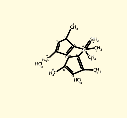 CC1=CC(C)[C]([Zr]([CH3])([CH3])(=[SiH2])[C]2=C(C)C=C(C)C2)=C1.Cl.Cl